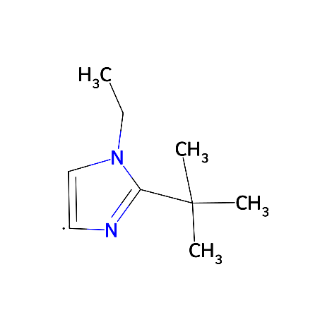 CCn1c[c]nc1C(C)(C)C